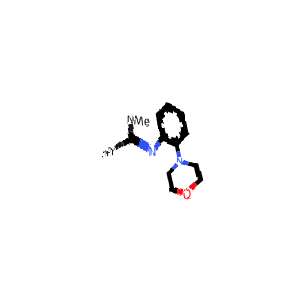 CCC/C(=N/c1ccccc1N1CCOCC1)NC